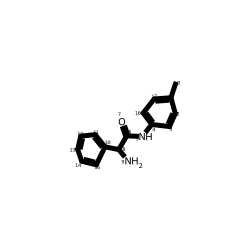 Cc1ccc(NC(=O)C(N)c2ccccc2)cc1